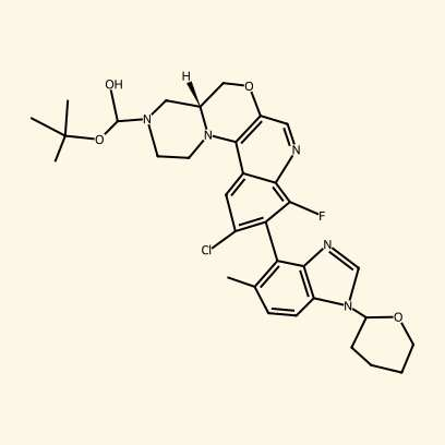 Cc1ccc2c(ncn2C2CCCCO2)c1-c1c(Cl)cc2c3c(cnc2c1F)OC[C@H]1CN(C(O)OC(C)(C)C)CCN31